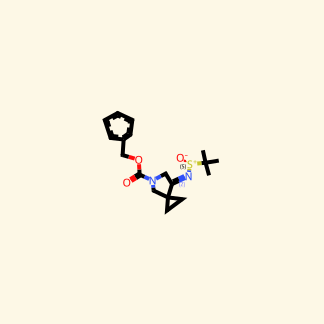 CC(C)(C)[S@@+]([O-])/N=C1\CN(C(=O)OCc2ccccc2)CC12CC2